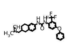 CN(C)CC1CCc2cc(NC(=O)Nc3ccc(Oc4ccccc4)cc3C(F)(F)F)ccc2C1